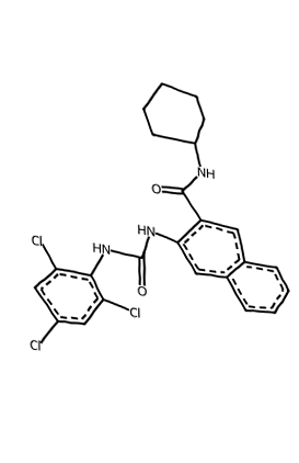 O=C(Nc1cc2ccccc2cc1C(=O)NC1CCCCC1)Nc1c(Cl)cc(Cl)cc1Cl